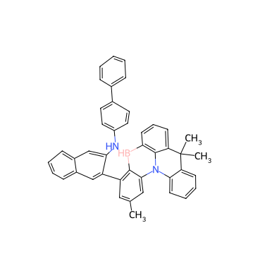 Cc1cc(-c2cc3ccccc3cc2Nc2ccc(-c3ccccc3)cc2)c2c(c1)N1c3ccccc3C(C)(C)c3cccc(c31)B2